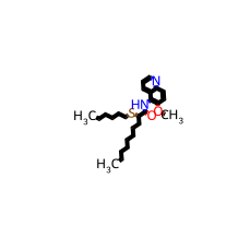 CCCCCCCCC(SCCCCCC)C(=O)Nc1c(OC)ccc2ncccc12